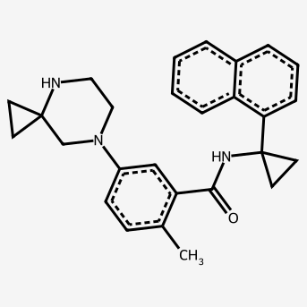 Cc1ccc(N2CCNC3(CC3)C2)cc1C(=O)NC1(c2cccc3ccccc23)CC1